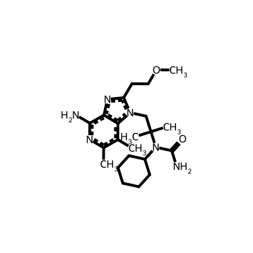 COCCc1nc2c(N)nc(C)c(C)c2n1CC(C)(C)N(C(N)=O)C1CCCCC1